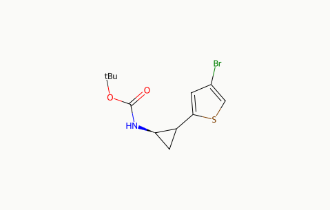 CC(C)(C)OC(=O)N[C@@H]1CC1c1cc(Br)cs1